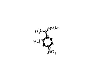 CC(=O)NC(C)c1ccc([N+](=O)[O-])cc1.Cl